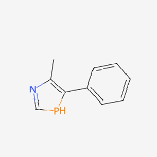 Cc1nc[pH]c1-c1ccccc1